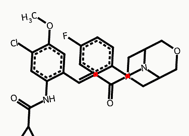 COc1cc(/C=C/C(=O)N2CC3COCC(C2)N3Cc2ccc(F)cc2)c(NC(=O)C2CC2)cc1Cl